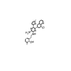 CN1C=CC=C(CCNc2nc(-c3cc(Cl)c4ncccc4c3)c(-c3ccn(C)n3)nc2N)C1O